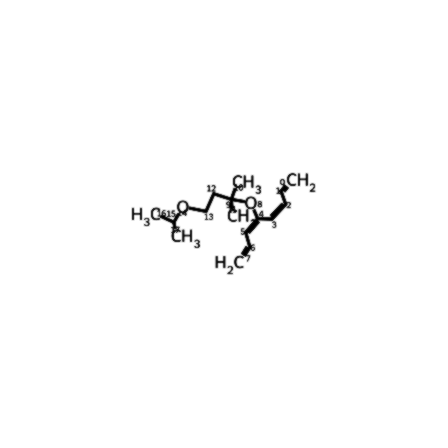 C=C/C=C\C(=C/C=C)OC(C)(C)CCOC(C)C